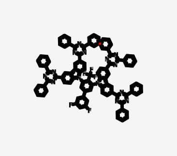 Fc1cc(F)cc(-c2cc(-n3c4ccc(-c5nc(-c6ccccc6)nc(-c6ccccc6)n5)cc4c4cc(-c5nc(-c6ccccc6)nc(-c6ccccc6)n5)ccc43)c(C(F)(F)F)c(-n3c4ccc(-c5nc(-c6ccccc6)nc(-c6ccccc6)n5)cc4c4cc(-c5nc(-c6ccccc6)nc(-c6ccccc6)n5)ccc43)c2)c1